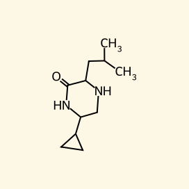 CC(C)CC1NCC(C2CC2)NC1=O